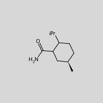 CC(C)C1CC[C@@H](C)CC1C(N)=O